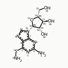 NSc1nc(N)nc2c1ncn2[C@@H]1O[C@H](CO)[C@@H](O)[C@@H]1O